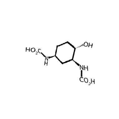 O=C(O)N[C@H]1CC[C@H](O)[C@@H](NC(=O)O)C1